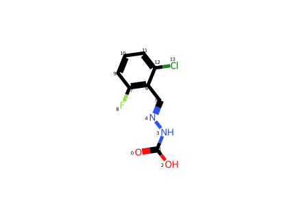 O=C(O)NN=Cc1c(F)cccc1Cl